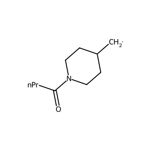 [CH2]C1CCN(C(=O)CCC)CC1